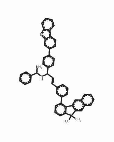 CC1(C)c2cc3ccccc3cc2-c2c(-c3cccc(/C=C/C(NC(N)c4ccccc4)c4ccc(-c5ccc6c(c5)sc5ccccc56)cc4)c3)cccc21